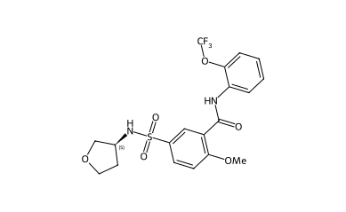 COc1ccc(S(=O)(=O)N[C@H]2CCOC2)cc1C(=O)Nc1ccccc1OC(F)(F)F